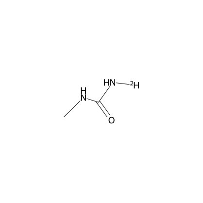 [2H]NC(=O)NC